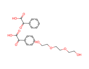 O=C(O)C(=O)c1ccccc1.O=C(O)C(=O)c1ccccc1.OCCOCCOCCO